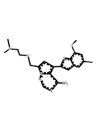 COc1cc(C)cc2cc(-c3cc(COCCN(C)C)n4ncnc(N)c34)sc12